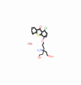 Br.NC(CCO)(CCO)CCCOc1ccc(Cl)c2c(=O)c3ccccc3sc12